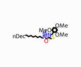 CCCCCCCCCCCCCCCCCCNC(=O)[C@@H]1CSC(c2c(OC)cc(OC)cc2OC)N1